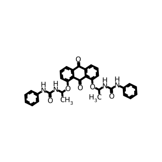 CC(NC(=O)Nc1ccccc1)Oc1cccc2c1C(=O)c1c(OC(C)NC(=O)Nc3ccccc3)cccc1C2=O